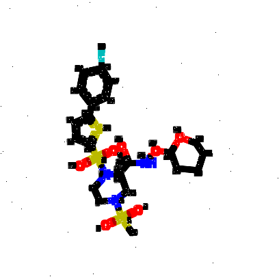 CS(=O)(=O)N1CCN(S(=O)(=O)c2ccc(-c3ccc(F)cc3)s2)[C@@H](C(=O)NOC2CCCCO2)C1